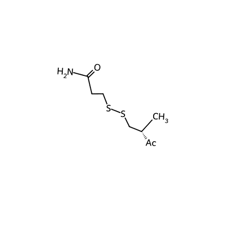 CC(=O)[C@@H](C)CSSCCC(N)=O